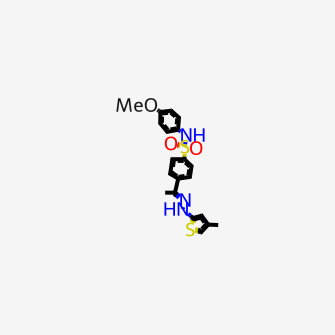 COc1ccc(NS(=O)(=O)c2ccc(C(C)=NNc3cc(C)cs3)cc2)cc1